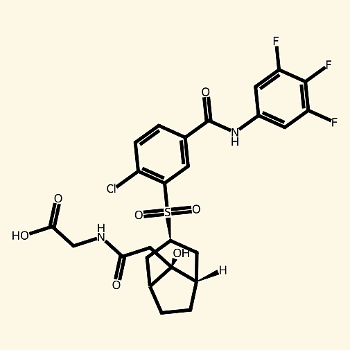 O=C(O)CNC(=O)C[C@@]1(O)C2CC[C@H]1C[C@H](S(=O)(=O)c1cc(C(=O)Nc3cc(F)c(F)c(F)c3)ccc1Cl)C2